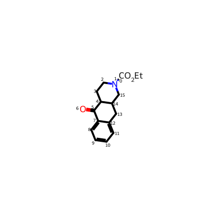 CCOC(=O)N1CCC2C(=O)c3ccccc3CC2C1